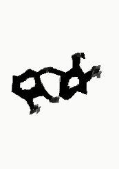 Cc1cccc(Oc2cccc(C)c2O)c1O